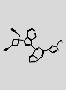 Cn1cc(-c2cn3nccc3c(-c3cn([C@]4(CC#N)C[C@@H](C#N)C4)c4ccncc34)n2)cn1